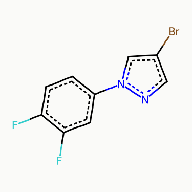 Fc1ccc(-n2cc(Br)cn2)cc1F